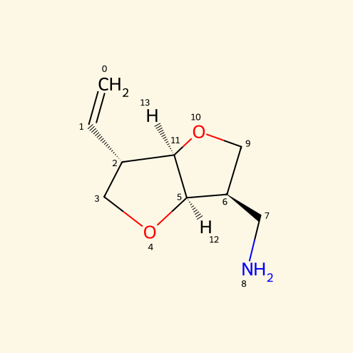 C=C[C@H]1CO[C@@H]2[C@H](CN)CO[C@@H]21